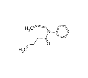 C=C=CN(C(=O)CCC=C)c1ccccc1